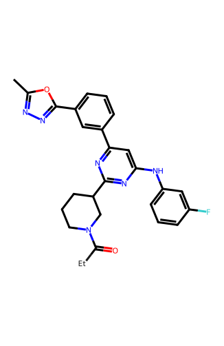 CCC(=O)N1CCCC(c2nc(Nc3cccc(F)c3)cc(-c3cccc(-c4nnc(C)o4)c3)n2)C1